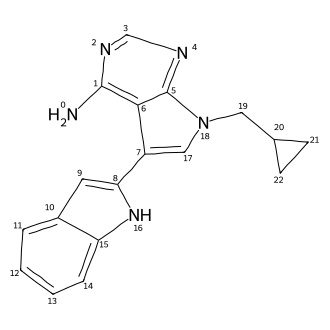 Nc1ncnc2c1c(-c1cc3ccccc3[nH]1)cn2CC1CC1